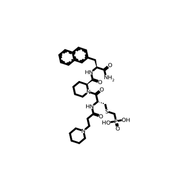 NC(=O)[C@H](Cc1ccc2ccccc2c1)NC(=O)[C@@H]1CCCCN1C(=O)[C@H](CSCP(=O)(O)O)NC(=O)CCN1CCCCC1